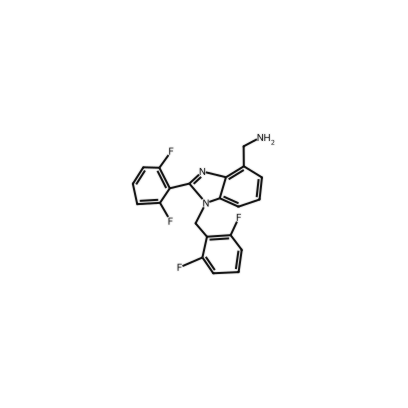 NCc1cccc2c1nc(-c1c(F)cccc1F)n2Cc1c(F)cccc1F